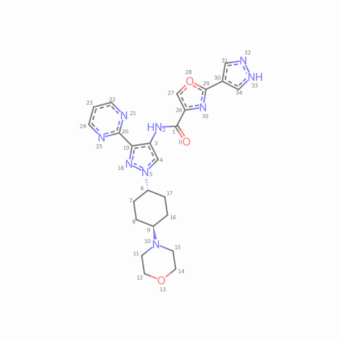 O=C(Nc1cn([C@H]2CC[C@H](N3CCOCC3)CC2)nc1-c1ncccn1)c1coc(-c2cn[nH]c2)n1